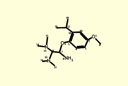 COc1ccc(OC(N)C(N(C)C)N(C)C)c(C(C)C)c1